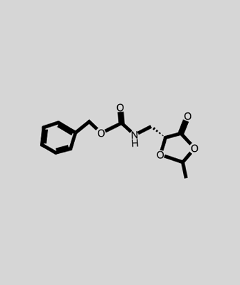 CC1OC(=O)[C@@H](CNC(=O)OCc2ccccc2)O1